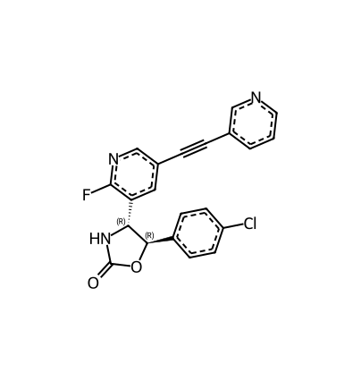 O=C1N[C@H](c2cc(C#Cc3cccnc3)cnc2F)[C@@H](c2ccc(Cl)cc2)O1